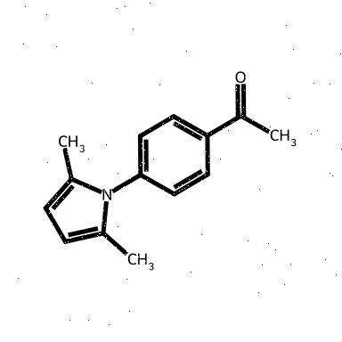 CC(=O)c1ccc(-n2c(C)ccc2C)cc1